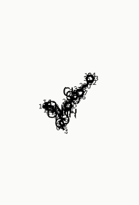 CC(C)(C)OC(=O)/N=C(/NC(=O)OC(C)(C)C)Nc1ccc(C(=O)Oc2ccc(CCc3ccccc3)cc2Cl)cc1